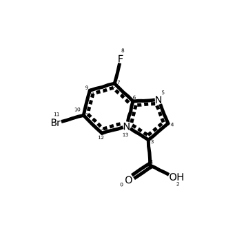 O=C(O)c1cnc2c(F)cc(Br)cn12